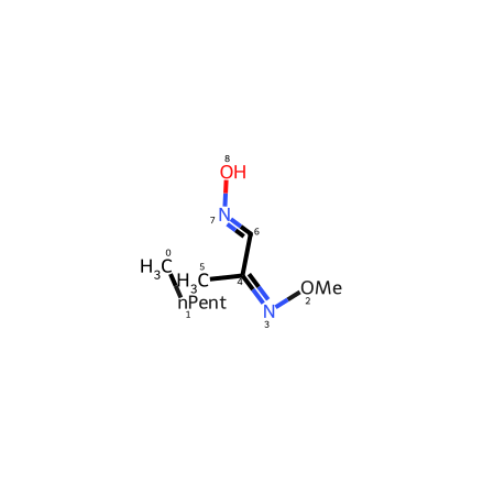 CCCCCC.CON=C(C)C=NO